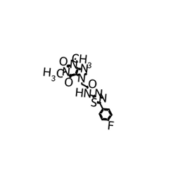 Cn1c(=O)c2c(ncn2CC(=O)Nc2nnc(-c3ccc(F)cc3)s2)n(C)c1=O